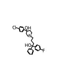 OC1(c2ccc(Cl)cc2)CCN(CCCC(O)(c2ccccc2)c2ccc(F)cc2)CC1